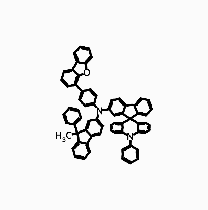 CC1(c2ccccc2)c2ccccc2-c2ccc(N(c3ccc(-c4cccc5c4oc4ccccc45)cc3)c3ccc4c(c3)C3(c5ccccc5-4)c4ccccc4N(c4ccccc4)c4ccccc43)cc21